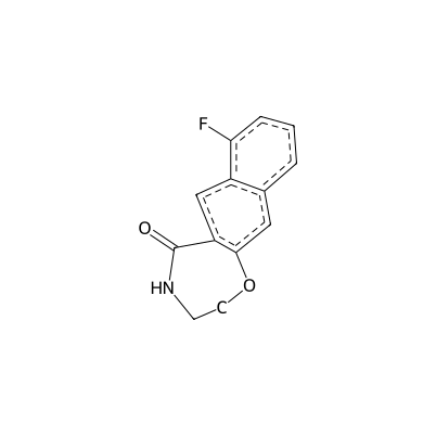 O=C1NCCOc2cc3cccc(F)c3cc21